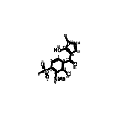 CNc1c(S(C)(=O)=O)ccc(C(=O)c2cnn(C)c2O)c1Cl